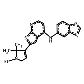 CCN1CC=C(c2cc3c(Nc4ccc5scnc5c4)ccnc3s2)C1(C)C